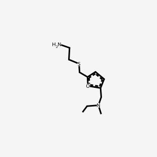 CCN(C)Cc1ccc(CSCCN)o1